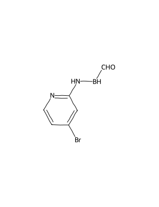 O=CBNc1cc(Br)ccn1